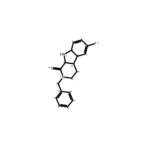 FC1=CC2C(C=C1)NC1C(=S)N(Cc3ccccc3)CCC12